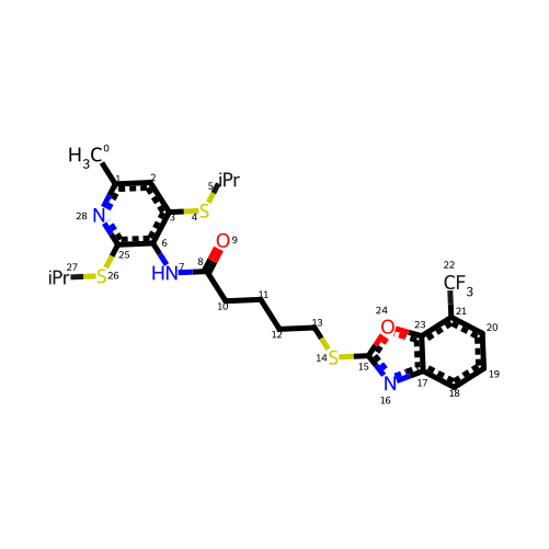 Cc1cc(SC(C)C)c(NC(=O)CCCCSc2nc3cccc(C(F)(F)F)c3o2)c(SC(C)C)n1